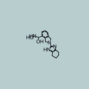 ONC(O)c1cccc2c1CN(c1nc3c([nH]1)CCCC3)C2